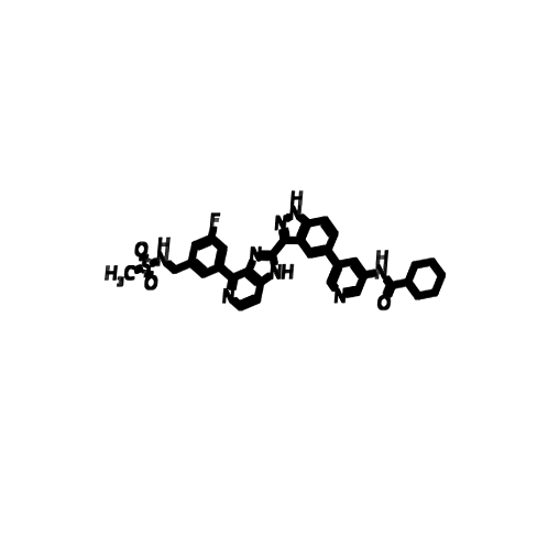 CS(=O)(=O)NCc1cc(F)cc(-c2nccc3[nH]c(-c4n[nH]c5ccc(-c6cncc(NC(=O)C7CCCCC7)c6)cc45)nc23)c1